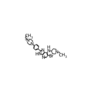 CCN1CCC(Nc2c(Br)cnc3[nH]c(-c4ccc(N5CCN(SC)CC5)cc4)nc23)CC1